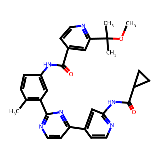 COC(C)(C)c1cc(C(=O)Nc2ccc(C)c(-c3nccc(-c4ccnc(NC(=O)C5CC5)c4)n3)c2)ccn1